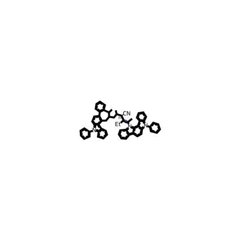 CC/C(=C(/C)n1c2ccccc2c2ccc3c(c4ccccc4n3-c3ccccc3)c21)[C@@H](C#N)C(C)CC1Cc2c(ccc3c2c2ccccc2n3-c2ccccc2)-c2ccccc2C1C